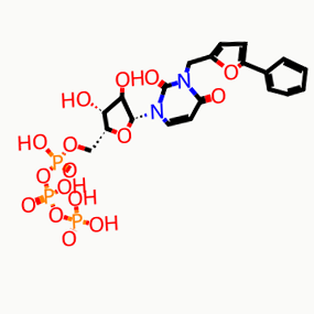 O=c1ccn([C@@H]2O[C@H](COP(=O)(O)OP(=O)(O)OP(=O)(O)O)[C@H](O)C2O)c(=O)n1Cc1ccc(-c2ccccc2)o1